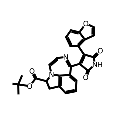 CC(C)(C)OC(=O)C1Cc2cccc3c2N1C=CN=C3C1=C(c2cccc3occc23)C(=O)NC1=O